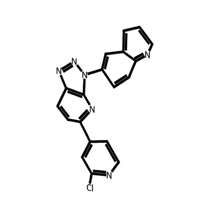 Clc1cc(-c2ccc3nnn(-c4ccc5ncccc5c4)c3n2)ccn1